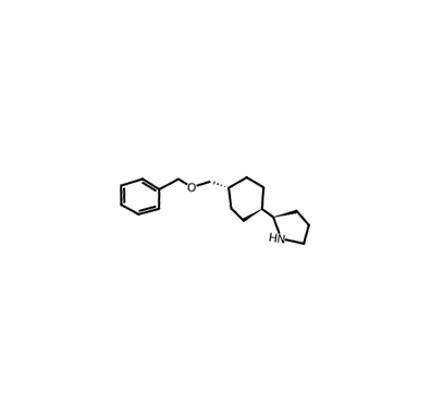 c1ccc(COC[C@H]2CC[C@H]([C@H]3CCCN3)CC2)cc1